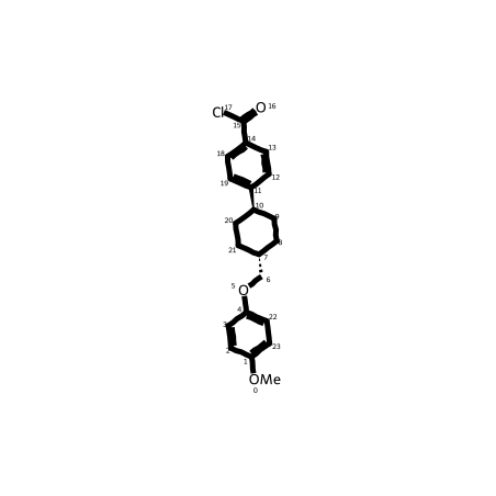 COc1ccc(OC[C@H]2CC[C@H](c3ccc(C(=O)Cl)cc3)CC2)cc1